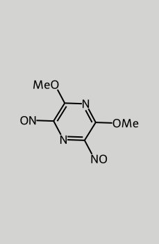 COc1nc(OC)c(N=O)nc1N=O